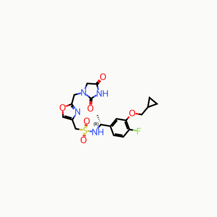 C[C@@H](NS(=O)(=O)Cc1coc(CN2CC(=O)NC2=O)n1)c1ccc(F)c(OCC2CC2)c1